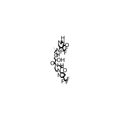 C[C@@H](COC[C@@H](O)C(=O)N1CCN2c3ncc(C(F)(F)F)cc3OC[C@H]2C1)Nc1cn[nH]c(=O)c1C(F)(F)F